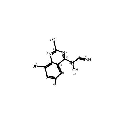 Cc1cc(Br)c2nc(Cl)nc(N(O)C=N)c2c1